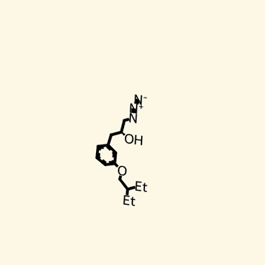 CCC(CC)COc1cccc(C[C@H](O)CN=[N+]=[N-])c1